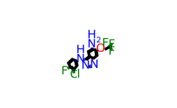 Nc1cc2c(Nc3ccc(F)c(Cl)c3)ncnc2cc1OCC(F)(F)F